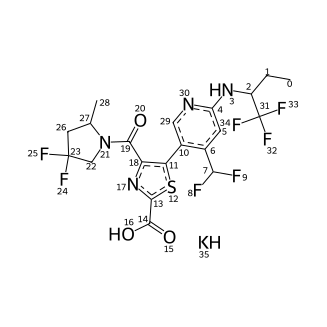 CCC(Nc1cc(C(F)F)c(-c2sc(C(=O)O)nc2C(=O)N2CC(F)(F)CC2C)cn1)C(F)(F)F.[KH]